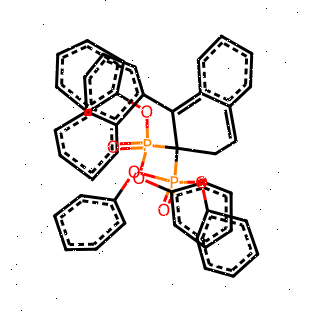 O=P(Oc1ccccc1)(Oc1ccccc1)C1(P(=O)(Oc2ccccc2)Oc2ccccc2)CC=c2ccccc2=C1c1cccc2ccccc12